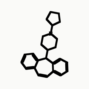 C1=Cc2ccccc2C(C2CCN(C3CCCC3)CC2)c2ccccc21